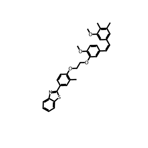 COc1ccc(/C=C\c2cc(C)c(C)c(OC)c2)cc1OCCOc1ccc(-c2nc3ccccc3s2)cc1C